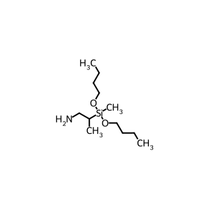 CCCCO[Si](C)(OCCCC)C(C)CN